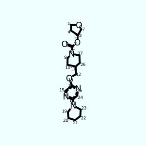 O=C(O[C@H]1CCOC1)N1CCC(COc2cnc(N3CCCCC3)cn2)CC1